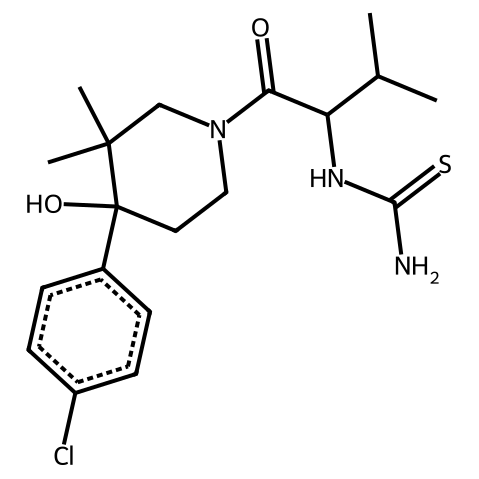 CC(C)C(NC(N)=S)C(=O)N1CCC(O)(c2ccc(Cl)cc2)C(C)(C)C1